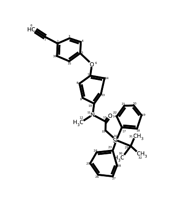 C#Cc1ccc(Oc2ccc(N(C)C(=O)C[Si](c3ccccc3)(c3ccccc3)C(C)(C)C)cc2)cc1